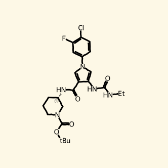 CCNC(=O)Nc1cn(-c2ccc(Cl)c(F)c2)cc1C(=O)N[C@H]1CCCN(C(=O)OC(C)(C)C)C1